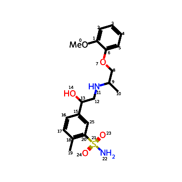 COc1ccccc1OCC(C)NCC(O)c1ccc(C)c(S(N)(=O)=O)c1